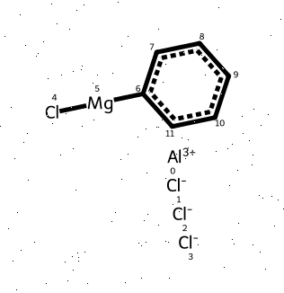 [Al+3].[Cl-].[Cl-].[Cl-].[Cl][Mg][c]1ccccc1